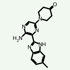 Cc1ccc2nc(-c3nc(N4CCC(=O)CC4)cnc3N)[nH]c2c1